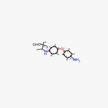 CC(Nc1ccc(Oc2ccc(N)cc2)cc1)C(C)(C)C=O